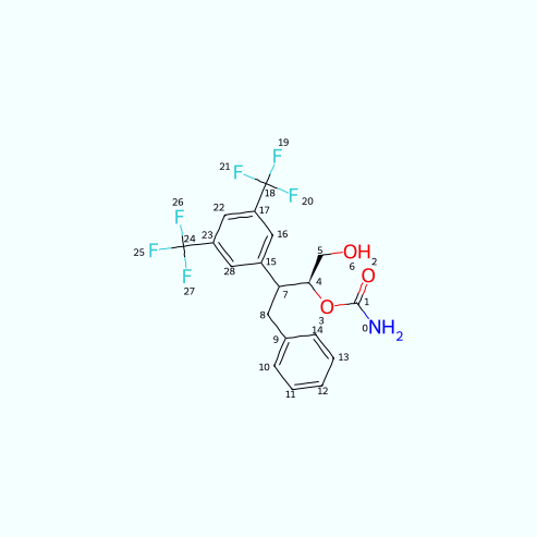 NC(=O)O[C@H](CO)C(Cc1ccccc1)c1cc(C(F)(F)F)cc(C(F)(F)F)c1